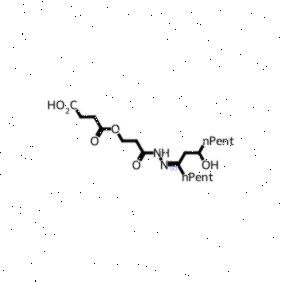 CCCCC/C(CC(O)CCCCC)=N/NC(=O)CCOC(=O)CCC(=O)O